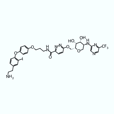 NCCc1ccc(Oc2ccc(OCCCNC(=O)c3ccc(OC[C@H]4OC[C@H](Nc5cncc(C(F)(F)F)n5)[C@@H](O)[C@H]4O)nn3)cc2)c(I)c1